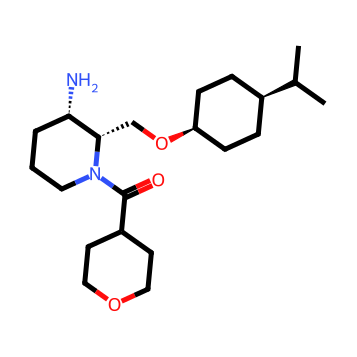 CC(C)[C@H]1CC[C@@H](OC[C@H]2[C@@H](N)CCCN2C(=O)C2CCOCC2)CC1